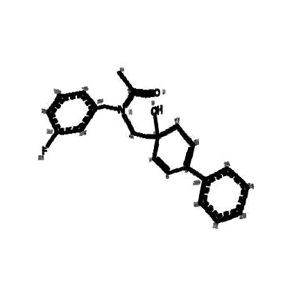 CC(=O)N(CC1(O)C=CC(c2ccccc2)=CC1)c1cccc(F)c1